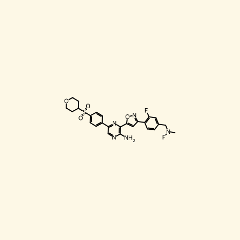 CN(F)Cc1ccc(-c2cc(-c3nc(-c4ccc(S(=O)(=O)C5CCOCC5)cc4)cnc3N)on2)c(F)c1